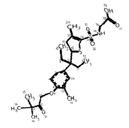 CCC(CC)(c1ccc(OCC(=O)C(C)(C)C)c(C)c1)C1CC(C)=C(S(=O)(=O)NCC(=O)O)S1